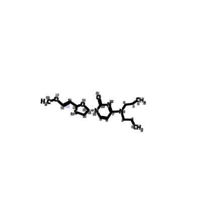 CCCN(CCC)c1ccn([C@@H]2CSC(/C=C/OC)O2)c(=O)n1